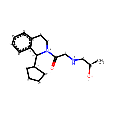 C[C@@H](O)CNCC(=O)N1CCc2ccccc2C1C1CCCC1